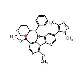 COC(=O)c1cnc(OC)c2c3ncc(-c4c(C)nnn4C)cc3n([C@H](c3ccccc3)C3CCOCC3)c12